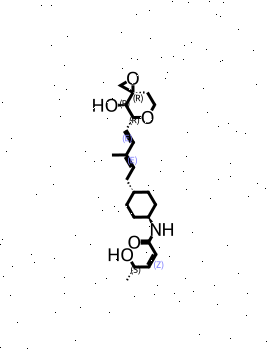 CC(/C=C/[C@H]1OCC[C@@]2(CO2)[C@@H]1O)=C\C[C@H]1CC[C@H](NC(=O)/C=C\[C@H](C)O)CC1